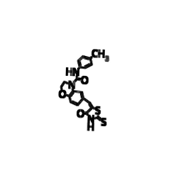 Cc1ccc(NC(=O)N2CCOc3ccc(C=C4SC(=S)NC4=O)cc32)cc1